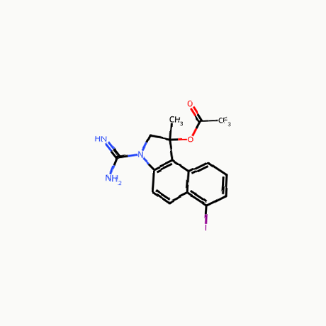 CC1(OC(=O)C(F)(F)F)CN(C(=N)N)c2ccc3c(I)cccc3c21